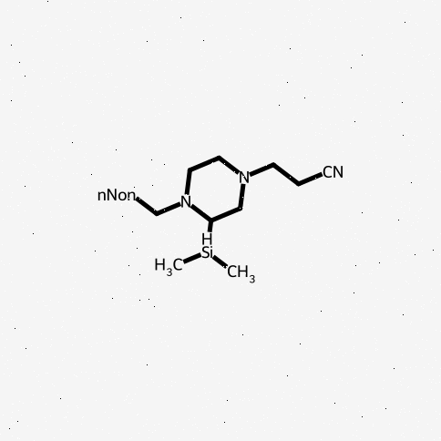 CCCCCCCCCCN1CCN(CCC#N)CC1[SiH](C)C